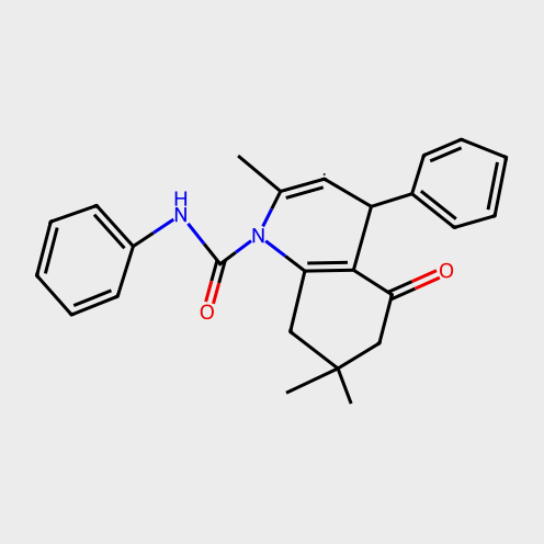 CC1=[C]C(c2ccccc2)C2=C(CC(C)(C)CC2=O)N1C(=O)Nc1ccccc1